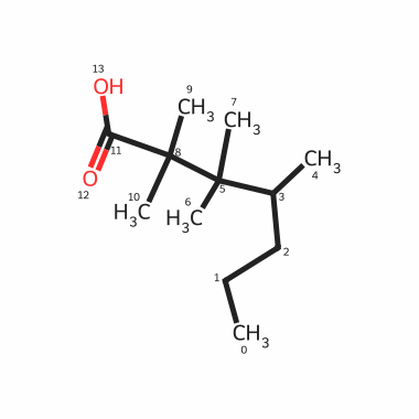 CCCC(C)C(C)(C)C(C)(C)C(=O)O